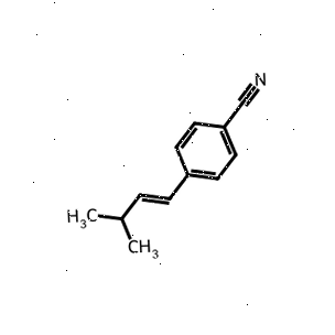 CC(C)/C=C/c1ccc(C#N)cc1